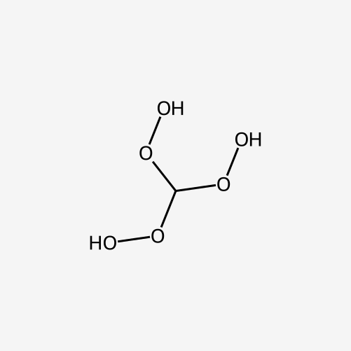 OOC(OO)OO